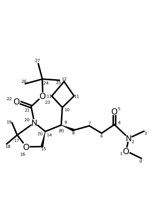 CON(C)C(=O)CCC[C@H](C1CCC1)[C@H]1COC(C)(C)N1C(=O)OC(C)(C)C